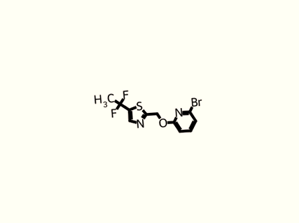 CC(F)(F)c1cnc(COc2cccc(Br)n2)s1